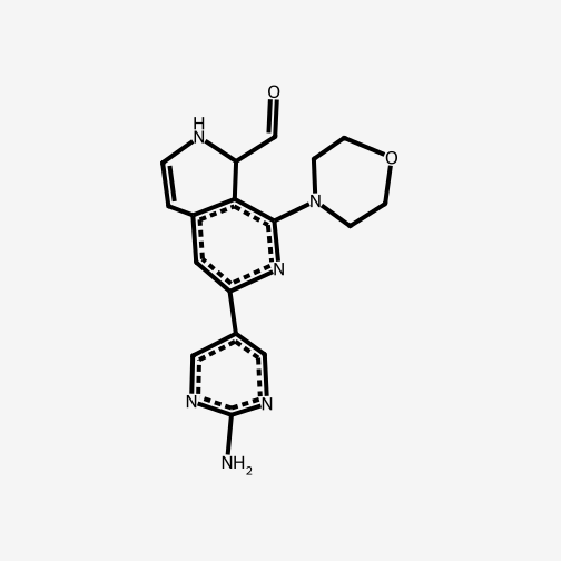 Nc1ncc(-c2cc3c(c(N4CCOCC4)n2)C(C=O)NC=C3)cn1